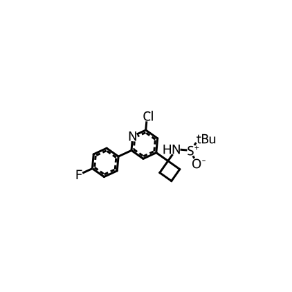 CC(C)(C)[S+]([O-])NC1(c2cc(Cl)nc(-c3ccc(F)cc3)c2)CCC1